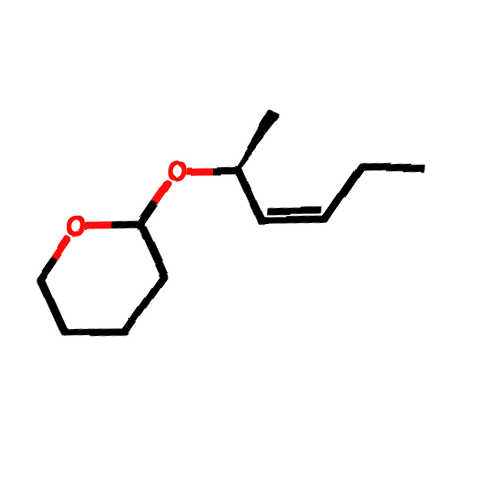 CC/C=C\[C@H](C)OC1CCCCO1